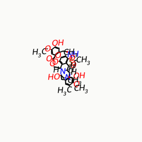 COc1cc2c(cc1O)CCNCS[C@@H]1c3c(OC(C)=O)c(C)c4c(c3[C@H](COC2=O)N2[C@@H]1[C@H]1c3c(cc(C)c(OC)c3O)CC2(O)CN1C)OCO4